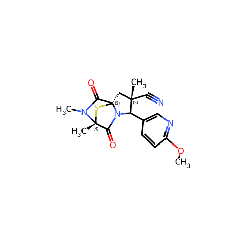 COc1ccc(C2N3C(=O)[C@@]4(C)S[C@@]3(C[C@]2(C)C#N)C(=O)N4C)cn1